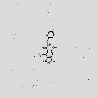 COc1cc2c(C)n[nH]c2c(N)c1C(=O)NCc1ccccn1